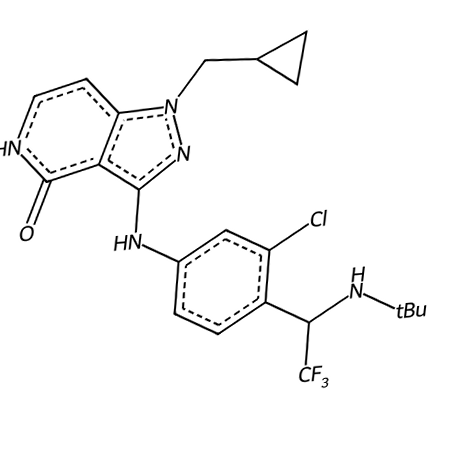 CC(C)(C)NC(c1ccc(Nc2nn(CC3CC3)c3cc[nH]c(=O)c23)cc1Cl)C(F)(F)F